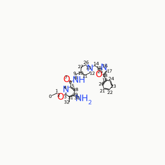 CCOc1nc(C(=O)NCC2CCN(Cc3ncc(-c4ccccc4)o3)CC2)cc(N)c1C